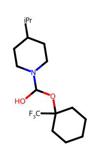 CC(C)C1CCN(C(O)OC2(C(F)(F)F)CCCCC2)CC1